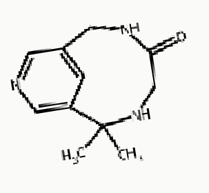 CC1(C)NCC(=O)NCc2cncc1c2